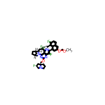 C#Cc1c(F)ccc2cc(OCOC)cc(-c3nc4c5c(nc(OC[C@@]67CCCN6C[C@H](F)C7)nc5c3F)N3C[C@H]5CC[C@H](C5)[C@H]3CC4(F)F)c12